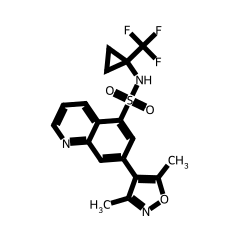 Cc1noc(C)c1-c1cc(S(=O)(=O)NC2(C(F)(F)F)CC2)c2cccnc2c1